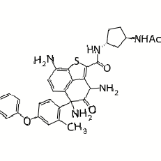 CC(=O)N[C@@H]1CC[C@@H](NC(=O)c2sc3c(N)ccc4c3c2C(N)C(=O)C4(N)c2ccc(Oc3ccccc3)cc2C)C1